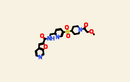 COCC(=O)N1CCC(S(=O)(=O)c2ccc(CNC(=O)c3cc4ccncc4o3)nc2)CC1